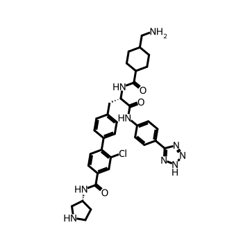 NCC1CCC(C(=O)N[C@@H](Cc2ccc(-c3ccc(C(=O)N[C@@H]4CCNC4)cc3Cl)cc2)C(=O)Nc2ccc(-c3nn[nH]n3)cc2)CC1